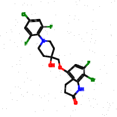 O=C1CCc2c(OCC3(O)CCN(c4c(F)cc(Cl)cc4F)CC3)cc(F)c(Br)c2N1